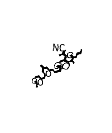 C=C1CC(C/C=C\C(=O)OC2C(C)C(C/C=C/C)OC(/C(C)=C/C#N)C2C)OC(CC2CCOC(C)O2)C1